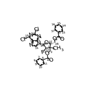 CC1(COC(=O)c2ccccc2)C(F)[C@H](n2cnc3c(Cl)nc(Cl)nc32)O[C@@H]1COC(=O)c1ccccc1